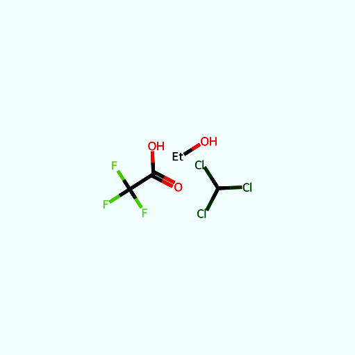 CCO.ClC(Cl)Cl.O=C(O)C(F)(F)F